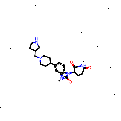 Cn1c(=O)n(C2CCC(=O)NC2=O)c2ccc(C3CCN(C[C@H]4CCNC4)CC3)cc21